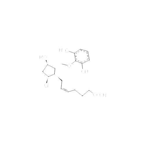 Cc1cccc(C)c1OC[C@@H]1[C@@H](C/C=C\CCCC(=O)O)[C@@H](Cl)C[C@H]1O